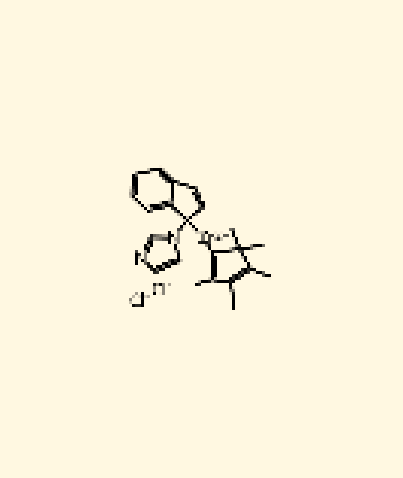 CC1=C(C)C(C)(C)[C]([Zr+2][C]2(n3ccnc3)C=Cc3ccccc32)=C1C.[Cl-].[Cl-]